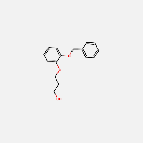 OCCCOc1ccccc1OCc1ccccc1